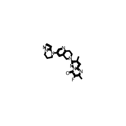 Cc1cc2nc(C)c(F)c(=O)n2nc1N1CCc2ncc(N3CCCn4nccc43)cc2C1